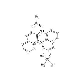 O=C(Nc1cc2ccccc2c(-c2cccc3ccccc23)c1O)C(F)(F)F.O=P(O)(O)O